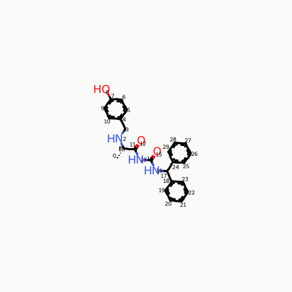 C[C@H](NCc1ccc(O)cc1)C(=O)NC(=O)NC(c1ccccc1)c1ccccc1